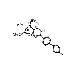 CCC[C@H](NC(=O)[C@H](CC(C)C)NC(=O)c1ccc(-c2ccc(I)cc2)cc1)C(=O)OC